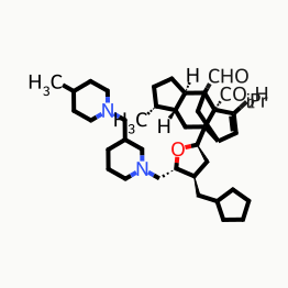 CC1CCN(CC2CCCN(C[C@@H]3O[C@@H](C45C[C@@H]6[C@H](C)CC[C@H]6C6(C=O)CC4C=C(C(C)C)[C@]65C(=O)O)C[C@H]3CC3CCCC3)C2)CC1